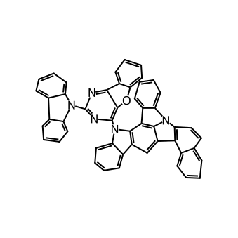 c1ccc2c(c1)ccc1c2c2cc3c4ccccc4n(-c4nc(-n5c6ccccc6c6ccccc65)nc5c4oc4ccccc45)c3c3c4ccccc4n1c23